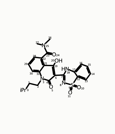 CC(C)CCn1c(=O)c(C2=NS(=O)(=O)c3ccccc3N2)c(O)c2c(C(=O)N(C)C)cccc21